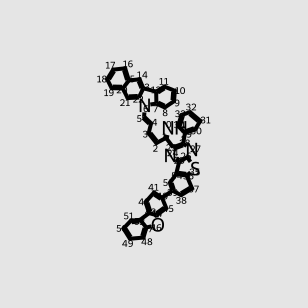 N=C(/C=C\C=C\n1c2ccccc2c2cc3ccccc3cc21)c1nc2c(nc1-c1ccccc1)sc1ccc(-c3ccc4c(c3)oc3ccccc34)cc12